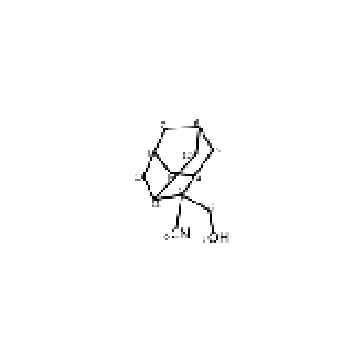 N#CC1(CO)C2CC3CC(C2)CC1C3